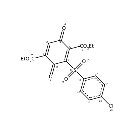 CCOC(=O)C1=CC(=O)C(C(=O)OCC)=C(S(=O)(=O)c2ccc(Cl)cc2)C1=O